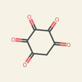 O=C1CC(=O)C(=O)C(=O)C1=O